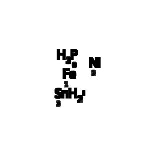 P.[Fe].[Ni].[SnH2]